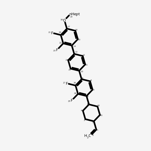 C=CC1CCC(c2ccc(-c3ccc(-c4ccc(OCCCCCCC)c(F)c4F)cc3)c(F)c2F)CC1